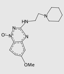 COc1ccc2c(c1)nc(NCCN1CCCCC1)n[n+]2[O-]